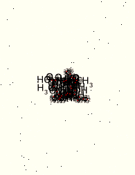 C[C@H](NC(=O)[C@@H](N)Cc1c[nH]cn1)C(=O)N[C@@H](CCC(=O)O)C(=O)NCC(=O)N[C@H](C(=O)N[C@@H](Cc1ccccc1)C(=O)N[C@](F)(C(=O)N[C@@H](CO)C(=O)N[C@@H](CC(=O)O)C(=O)N[C@@H](Cc1ccc(-c2ccccc2)cc1)C(=O)N[C@@H](Cc1ccc(-c2ccccc2)cc1)C(=O)O)[C@@H](C)O)[C@@H](C)O